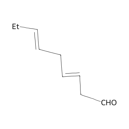 CCC=CCC=CCC=O